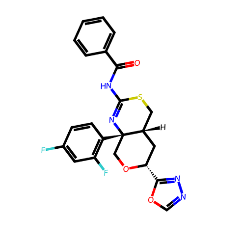 O=C(NC1=N[C@@]2(c3ccc(F)cc3F)CO[C@@H](c3nnco3)C[C@H]2CS1)c1ccccc1